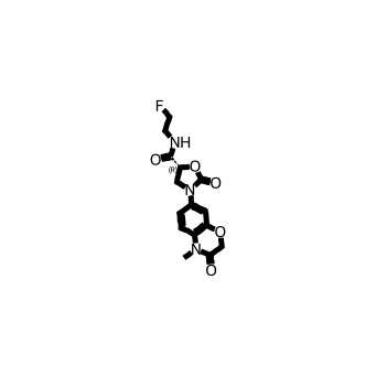 CN1C(=O)COc2cc(N3C[C@H](C(=O)NCCF)OC3=O)ccc21